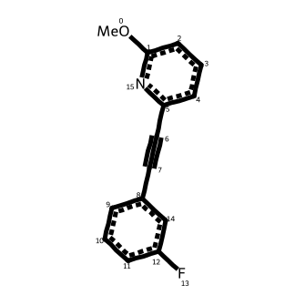 COc1cccc(C#Cc2cccc(F)c2)n1